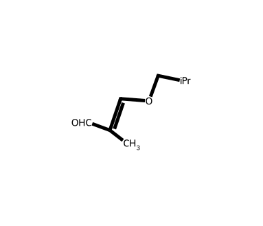 CC(C=O)=COCC(C)C